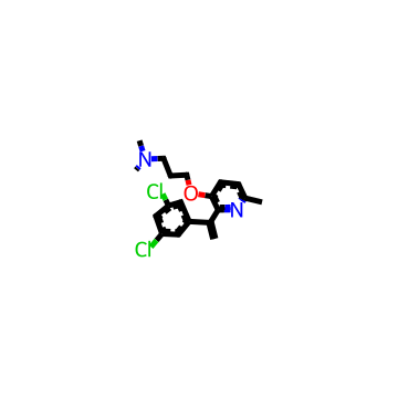 C=C(c1cc(Cl)cc(Cl)c1)c1nc(C)ccc1OCCCN(C)C